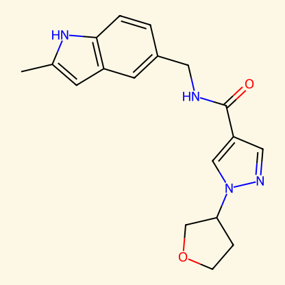 Cc1cc2cc(CNC(=O)c3cnn(C4CCOC4)c3)ccc2[nH]1